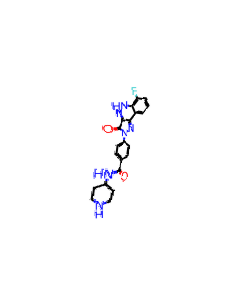 O=C(NC1CCNCC1)c1ccc(-n2nc3c4cccc(F)c4[nH]nc-3c2=O)cc1